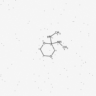 CNC1(NC)COCCO1